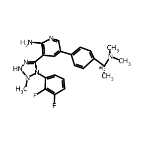 C[C@H](c1ccc(-c2cnc(N)c(C3=NNN(C)N3c3cccc(F)c3F)c2)cc1)N(C)C